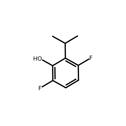 CC(C)c1c(F)ccc(F)c1O